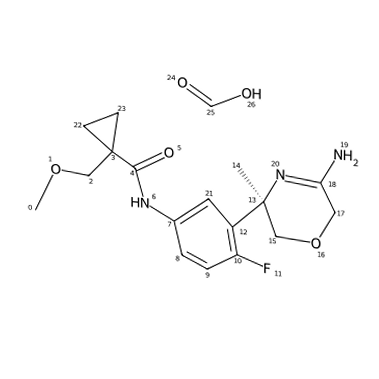 COCC1(C(=O)Nc2ccc(F)c([C@]3(C)COCC(N)=N3)c2)CC1.O=CO